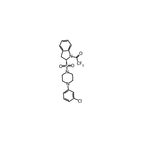 O=C(N1c2ccccc2C[C@@H]1S(=O)(=O)N1CCN(c2cccc(Cl)c2)CC1)C(F)(F)F